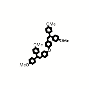 COc1ccc(C(=Cc2ccc(Oc3ccc(C=C(c4ccc(OC)cc4)c4ccc(OC)cc4)cc3)cc2)c2ccc(OC)cc2)cc1